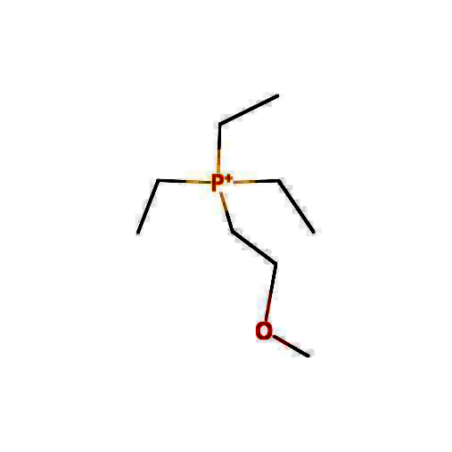 CC[P+](CC)(CC)CCOC